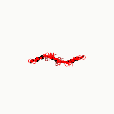 CC(C)(c1ccc(OCC(O)CCCCCOc2c(Br)cc(C(C)(C)c3cc(Br)c(OCC(O)COc4ccc(C(C)(C)c5ccc(OCC6CO6)cc5)cc4)c(Br)c3)cc2Br)cc1)c1ccc(OCC2CO2)cc1